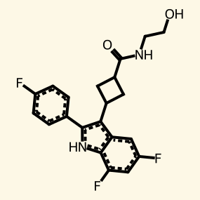 O=C(NCCO)C1CC(c2c(-c3ccc(F)cc3)[nH]c3c(F)cc(F)cc23)C1